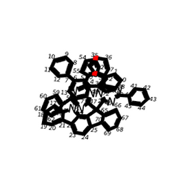 c1ccc(-c2cc(-c3ccccc3)cc(-n3c4ccccc4c4ccc5c(c43)C(c3nc(-c4ccccc4)nc(-c4ccccc4)n3)(c3nc(-c4ccccc4)nc(-c4ccccc4)n3)c3ccccc3-5)c2)cc1